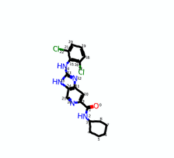 O=C(NC1CCCCC1)c1cc2nc(Nc3c(Cl)cccc3Cl)[nH]c2cn1